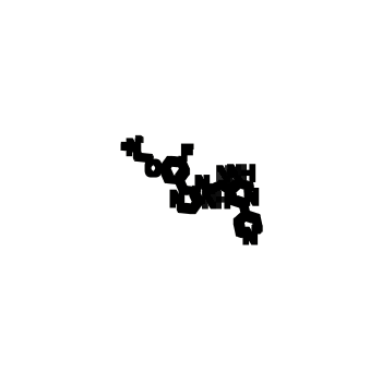 CN(C)CCOc1cc(F)cc(-c2nccc3[nH]c(-c4n[nH]c5cnc(-c6ccncc6)cc45)nc23)c1